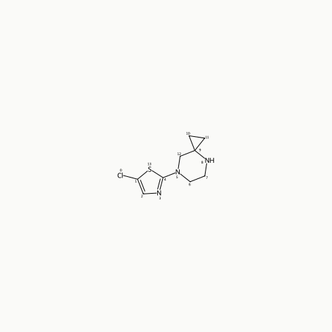 Clc1cnc(N2CCNC3(CC3)C2)s1